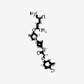 C=C/C(Cl)=C\C=C(/C)OC1CCN(C23CC(NC(=O)COc4ccc(Cl)c(F)c4)(C2)C3)C1